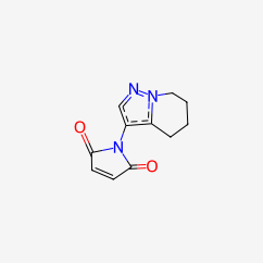 O=C1C=CC(=O)N1c1cnn2c1CCCC2